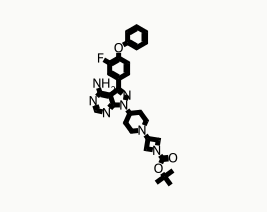 CC(C)(C)OC(=O)N1CC(N2CCC(n3nc(-c4ccc(Oc5ccccc5)c(F)c4)c4c(N)ncnc43)CC2)C1